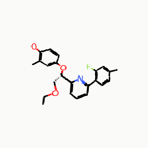 CCOC[C@H](Oc1ccc([O])c(C)c1)c1cccc(-c2ccc(C)cc2F)n1